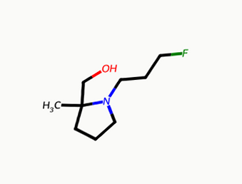 CC1(CO)CCCN1CCCF